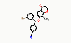 Cc1c(O[C@H](c2ccc(C#N)cc2)c2cccc(Br)c2)ccc2c1OCCC2=O